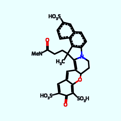 CNC(=O)CCC1(C)C2=C3C=C4C=C(S(=O)(=O)O)C(=O)C(S(=O)(=O)O)=C4OC3CCN2c2ccc3cc(S(=O)(=O)O)ccc3c21